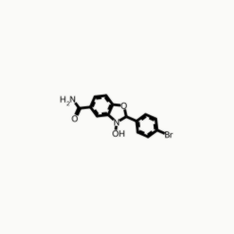 NC(=O)c1ccc2c(c1)N(O)C(c1ccc(Br)cc1)O2